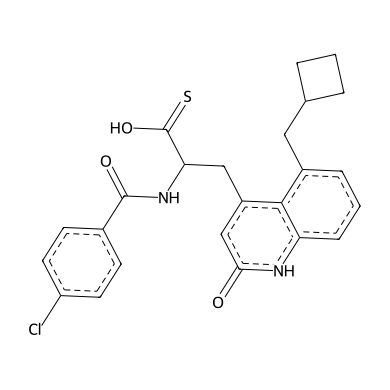 O=C(NC(Cc1cc(=O)[nH]c2cccc(CC3CCC3)c12)C(O)=S)c1ccc(Cl)cc1